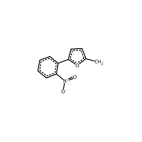 [CH2]c1ccc(-c2ccccc2[N+](=O)[O-])o1